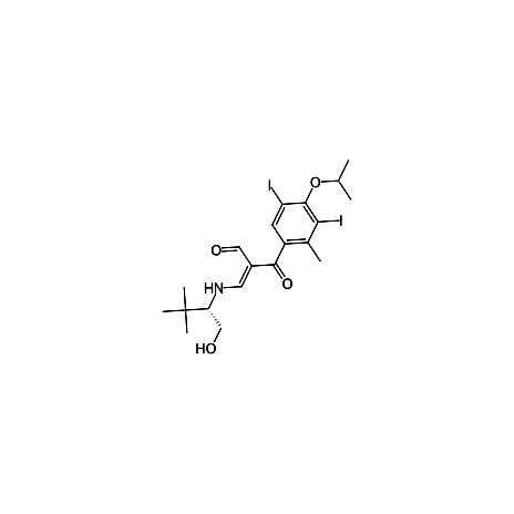 Cc1c(C(=O)C(C=O)=CN[C@H](CO)C(C)(C)C)cc(I)c(OC(C)C)c1I